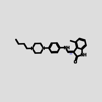 CCCCN1CCN(c2ccc(N/C=C3/C(=O)Nc4cccc(C)c43)cc2)CC1